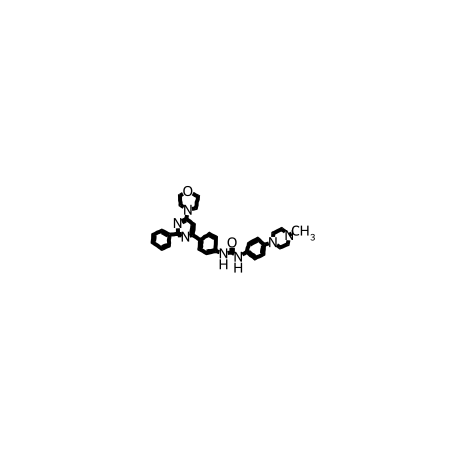 CN1CCN(c2ccc(NC(=O)Nc3ccc(-c4cc(N5CCOCC5)nc(-c5ccccc5)n4)cc3)cc2)CC1